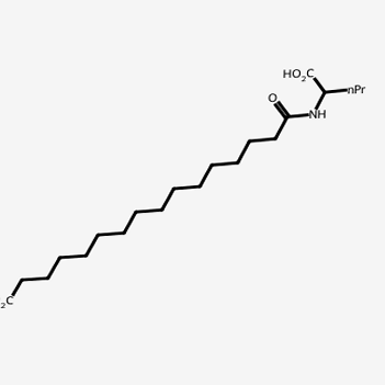 CCCC(NC(=O)CCCCCCCCCCCCCCC(=O)O)C(=O)O